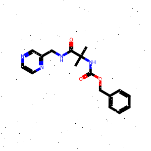 CC(C)(NC(=O)OCc1ccccc1)C(=O)NCc1cnccn1